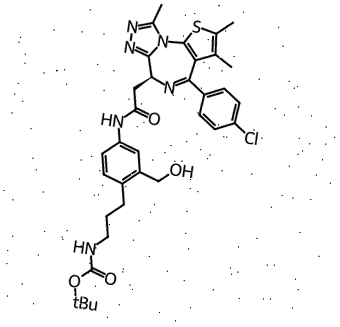 Cc1sc2c(c1C)C(c1ccc(Cl)cc1)=N[C@@H](CC(=O)Nc1ccc(CCCNC(=O)OC(C)(C)C)c(CO)c1)c1nnc(C)n1-2